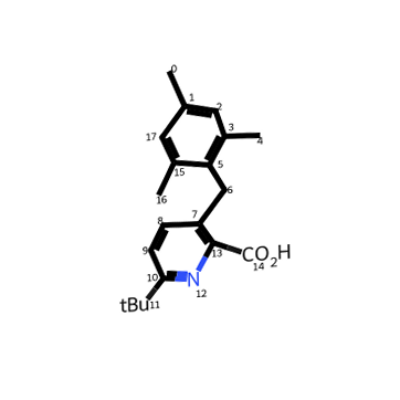 Cc1cc(C)c(Cc2ccc(C(C)(C)C)nc2C(=O)O)c(C)c1